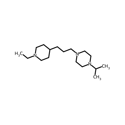 CCN1CCC(CCCN2CCN(C(C)C)CC2)CC1